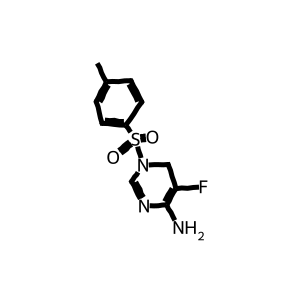 Cc1ccc(S(=O)(=O)N2C=NC(N)=C(F)C2)cc1